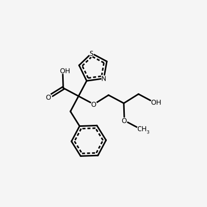 COC(CO)COC(Cc1ccccc1)(C(=O)O)c1cscn1